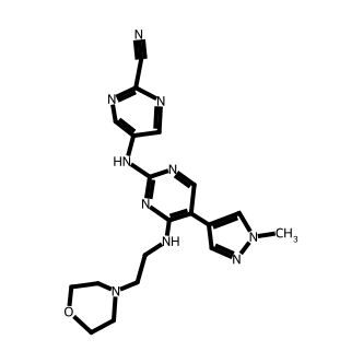 Cn1cc(-c2cnc(Nc3cnc(C#N)nc3)nc2NCCN2CCOCC2)cn1